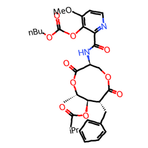 CCCCOC(=O)Oc1c(OC)ccnc1C(=O)N[C@H]1COC(=O)[C@H](Cc2ccccc2)[C@@H](OC(=O)C(C)C)[C@H](C)OC1=O